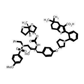 COc1ccc(S(=O)(=O)N(CC(C)C)C[C@@H](O)[C@H](Cc2ccc(O[C@@H]3CCN(c4ccccc4-c4sc5c(c4C(=O)O)CC(C)(C)CC5)C3)cc2)NC(=O)O[C@H]2CO[C@@]3(C)OCC[C@@H]23)cc1